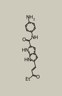 CCC(=O)/C=C/c1cc2cc(C(=O)Nc3ccc(N)cc3)[nH]c2[nH]1